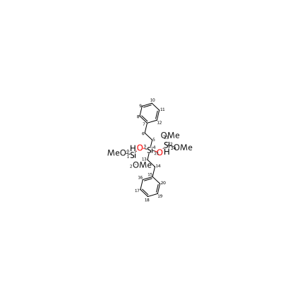 CO[SiH](OC)O[Si](CCc1ccccc1)(CCc1ccccc1)O[SiH](OC)OC